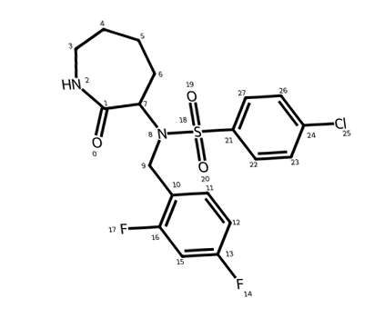 O=C1NCCCCC1N(Cc1ccc(F)cc1F)S(=O)(=O)c1ccc(Cl)cc1